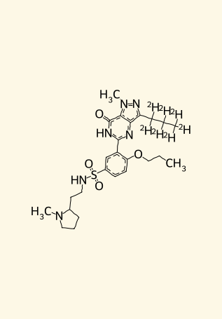 [2H]C([2H])([2H])C([2H])([2H])C([2H])([2H])c1nn(C)c2c(=O)[nH]c(-c3cc(S(=O)(=O)NCCC4CCCN4C)ccc3OCCC)nc12